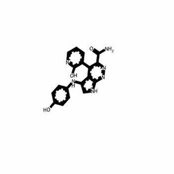 NC(=O)c1nnc2[nH]cc(Nc3ccc(O)cc3)c2c1-c1cccnc1O